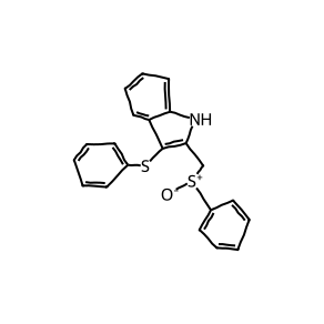 [O-][S+](Cc1[nH]c2ccccc2c1Sc1ccccc1)c1ccccc1